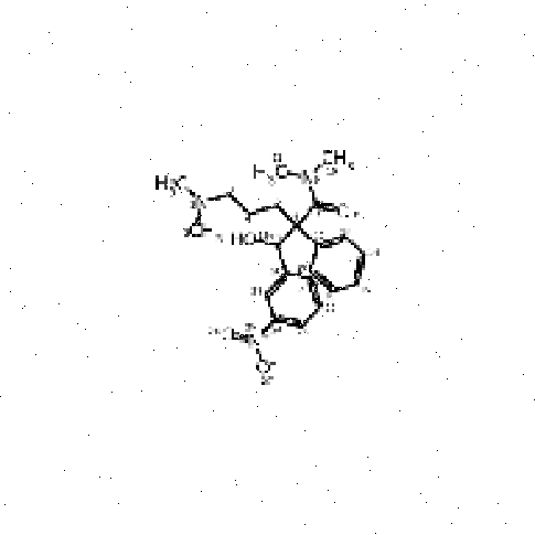 CN(C)CCCC(C(=O)N(C)C)(c1ccccc1)C(O)c1cccc([N+](=O)[O-])c1